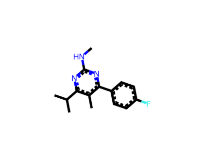 CNc1nc(-c2ccc(F)cc2)c(C)c(C(C)C)n1